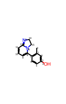 Cc1cc(O)ccc1C1=CC=CC2=NCCN12